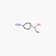 C=CC(O)c1ccc(N)cc1